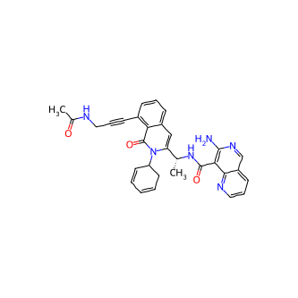 CC(=O)NCC#Cc1cccc2cc([C@@H](C)NC(=O)c3c(N)ncc4cccnc34)n(C3C=CC=CC3)c(=O)c12